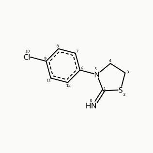 N=C1SCCN1c1ccc(Cl)cc1